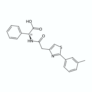 Cc1cccc(-c2nc(CC(=O)N[C@H](C(=O)O)c3ccccc3)cs2)c1